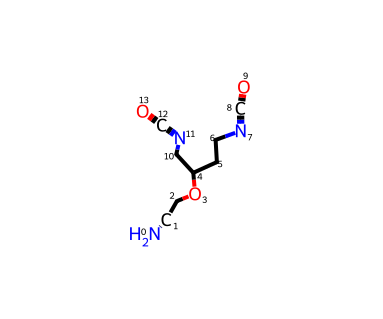 NCCOC(CCN=C=O)CN=C=O